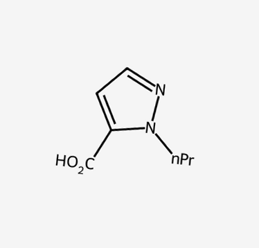 CCCn1nccc1C(=O)O